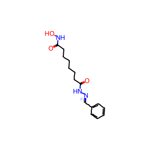 O=C(CCCCCCC(=O)N/N=C/c1ccccc1)NO